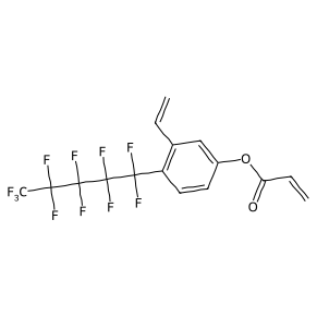 C=CC(=O)Oc1ccc(C(F)(F)C(F)(F)C(F)(F)C(F)(F)C(F)(F)F)c(C=C)c1